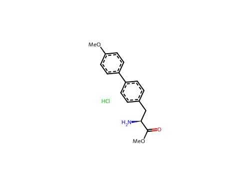 COC(=O)[C@@H](N)Cc1ccc(-c2ccc(OC)cc2)cc1.Cl